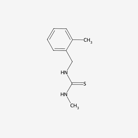 CNC(=S)NCc1ccccc1C